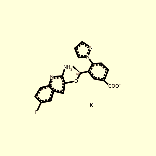 C[C@H](Oc1cc2cc(F)ccc2nc1N)c1cc(C(=O)[O-])ccc1-n1cccn1.[K+]